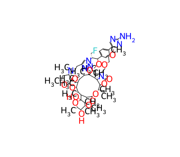 CC[C@H]1OC(=O)[C@H](C)C(C2(O)C[C@@](C)(OC)[C@@H](O)[C@H](C)O2)[C@H](C)[C@@H](O[C@H]2C[C@@H](N(C)CCc3cn([C@H](CF)[C@H](OC)c4ccc(-c5cnc(N)nc5)cc4)nn3)C[C@@H](C)O2)[C@](C)(OC)C[C@@H](C)C(=O)[C@H](C)[C@H]2N(CCOCCOC)C(=O)O[C@]12C